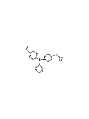 C=Cc1ccc(N(c2ccccc2)c2ccc(CC3CO3)cc2)cc1